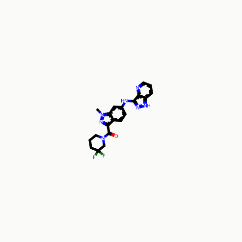 Cn1nc(C(=O)N2CCCC(F)(F)C2)c2ccc(Nc3n[nH]c4cccnc34)cc21